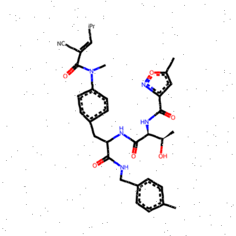 Cc1ccc(CNC(=O)C(Cc2ccc(N(C)C(=O)C(C#N)=CC(C)C)cc2)NC(=O)[C@@H](NC(=O)c2cc(C)on2)[C@@H](C)O)cc1